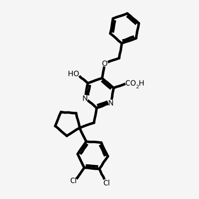 O=C(O)c1nc(CC2(c3ccc(Cl)c(Cl)c3)CCCC2)nc(O)c1OCc1ccccc1